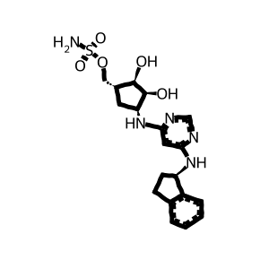 NS(=O)(=O)OC[C@H]1C[C@@H](Nc2cc(N[C@@H]3CCc4ccccc43)ncn2)[C@H](O)[C@@H]1O